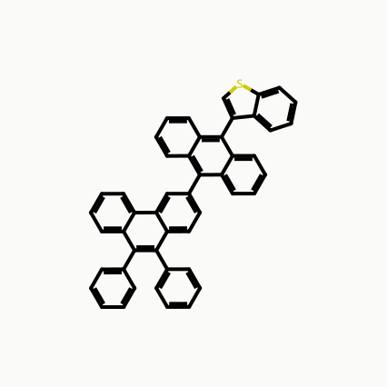 c1ccc(-c2c(-c3ccccc3)c3ccc(-c4c5ccccc5c(-c5csc6ccccc56)c5ccccc45)cc3c3ccccc23)cc1